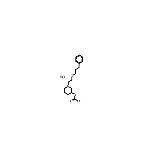 CCC(=O)OC1CCCN(CCOCCCc2ccccc2)C1.Cl